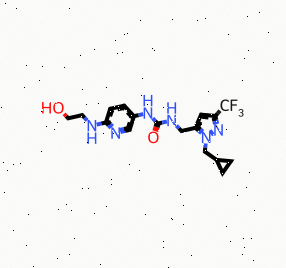 O=C(NCc1cc(C(F)(F)F)nn1CC1CC1)Nc1ccc(NCCO)nc1